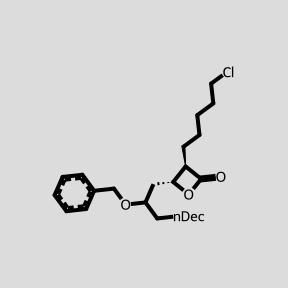 CCCCCCCCCCCC(C[C@H]1OC(=O)[C@@H]1CCCCCCl)OCc1ccccc1